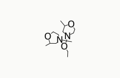 CCOC(C)(N1CCOC(C)C1)N1CCOC(C)C1